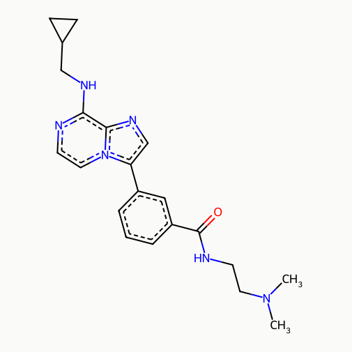 CN(C)CCNC(=O)c1cccc(-c2cnc3c(NCC4CC4)nccn23)c1